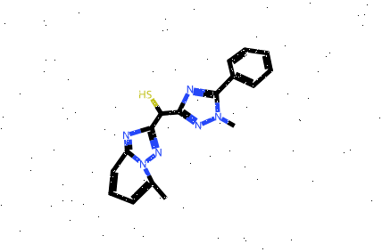 Cc1cccc2nc(C(S)c3nc(-c4ccccc4)n(C)n3)nn12